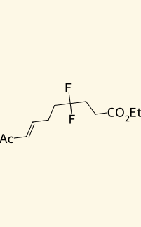 CCOC(=O)CCC(F)(F)CCC=CC(C)=O